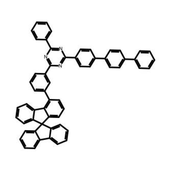 c1ccc(-c2ccc(-c3ccc(-c4nc(-c5ccccc5)nc(-c5cccc(-c6cccc7c6-c6ccccc6C76c7ccccc7-c7ccccc76)c5)n4)cc3)cc2)cc1